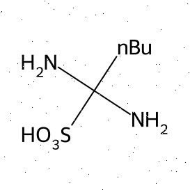 CCCCC(N)(N)S(=O)(=O)O